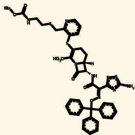 CC(C)(C)OC(=O)NCCSCc1ncccc1SC1=C(C(=O)O)N2C(=O)[C@@H](NC(=O)/C(=N\OC(c3ccccc3)(c3ccccc3)c3ccccc3)c3nsc(N)n3)[C@H]2CC1